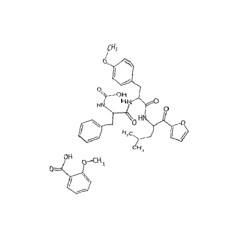 COc1ccc(CC(NC(=O)C(Cc2ccccc2)NC(=O)O)C(=O)NC(CC(C)C)C(=O)c2ccco2)cc1.COc1ccccc1C(=O)O